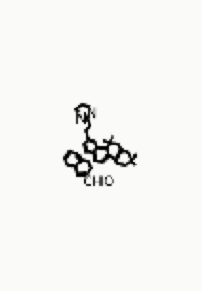 CC1(C)C=CC2=C(C1)CC(C)(C)c1c2ccc2ccc(CCc3ncccn3)cc12.O=Cc1ccc2ccccc2c1